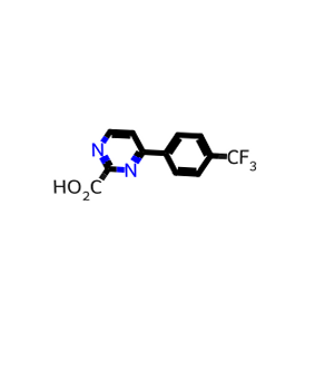 O=C(O)c1nccc(-c2ccc(C(F)(F)F)cc2)n1